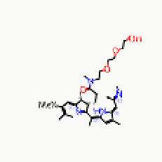 C/N=C(C)/C=c1\[nH]/c(=C(/C)C2=N/C(=C\C(NC)=C(C)C)[C@@H](C)[C@@H]2CCC(=O)N(C)CCOCCOCCO)cc1C